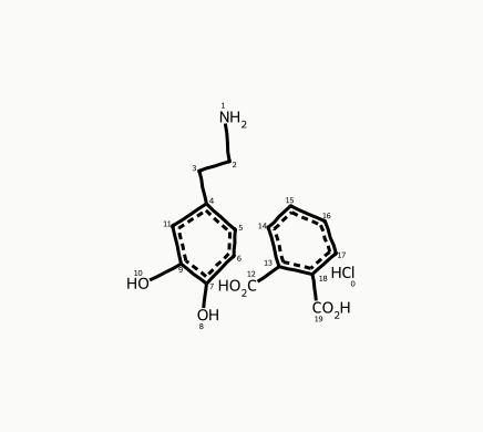 Cl.NCCc1ccc(O)c(O)c1.O=C(O)c1ccccc1C(=O)O